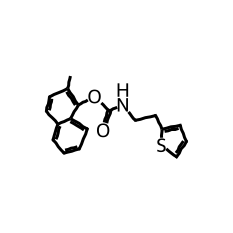 Cc1ccc2ccccc2c1OC(=O)NCCc1cccs1